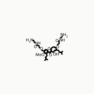 COc1c(COCCC(=O)NCCN)cc2oc3c(c(=O)c2c1CC=C(C)C)C(O)/C=C(CC=C(C)C)/C(OCCC(=O)NCCN)=C\C3